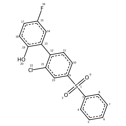 O=S(=O)(c1ccccc1)c1ccc(-c2cc(F)ccc2O)c(Cl)c1